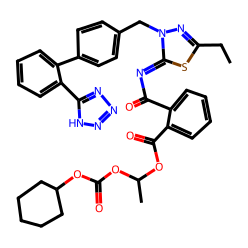 CCc1nn(Cc2ccc(-c3ccccc3-c3nnn[nH]3)cc2)c(=NC(=O)c2ccccc2C(=O)OC(C)OC(=O)OC2CCCCC2)s1